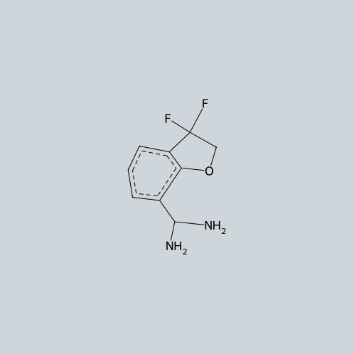 NC(N)c1cccc2c1OCC2(F)F